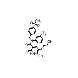 Cc1[nH]c(=O)c(C(=O)N(Cc2ccc(S(C)(=O)=O)cc2)c2cccc(C(F)(F)F)c2)cc1OCCO